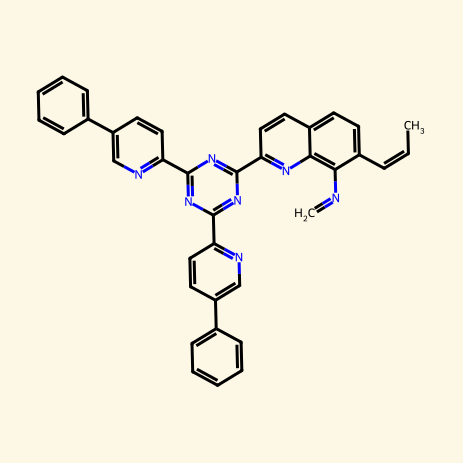 C=Nc1c(/C=C\C)ccc2ccc(-c3nc(-c4ccc(-c5ccccc5)cn4)nc(-c4ccc(-c5ccccc5)cn4)n3)nc12